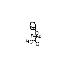 O=C(O)C(F)(F)OC1CC2CCC1C2